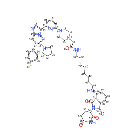 O=C(CN1CCN(c2cccc(-c3cnc4ccc(N5CCC[C@@H]5c5cccc(F)c5)nn34)n2)CC1)NCCCCCCCCNc1cccc2c1C(=O)N(C1CCC(=O)NC1=O)C2=O